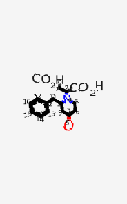 O=C(O)CC(C(=O)O)N1CCC(=O)CC1Cc1ccccc1